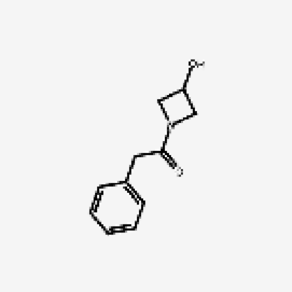 O=C(Cc1[c]cccc1)N1CC(O)C1